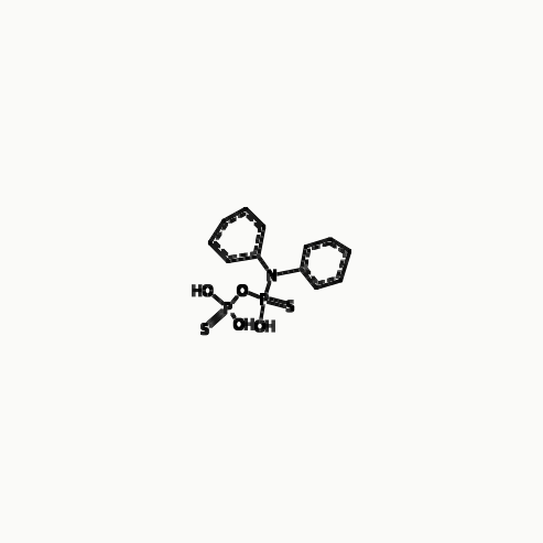 OP(O)(=S)OP(O)(=S)N(c1ccccc1)c1ccccc1